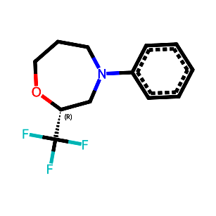 FC(F)(F)[C@H]1CN(c2ccccc2)CCCO1